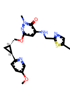 COc1ccc([C@H]2C[C@@H]2COc2cc(NCc3ncc(C)s3)c(=O)n(C)n2)nc1